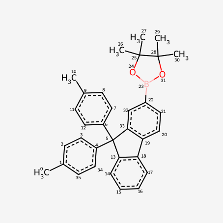 Cc1ccc(C2(c3ccc(C)cc3)c3ccccc3-c3ccc(B4OC(C)(C)C(C)(C)O4)cc32)cc1